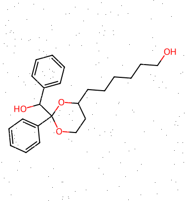 OCCCCCCC1CCOC(c2ccccc2)(C(O)c2ccccc2)O1